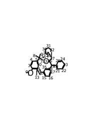 COc1ccc(C(C)(C)C)cc1N(C)c1cccc(C(c2ccccc2)C(CN2CCCC2)OC)c1